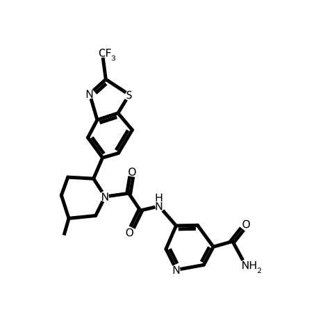 CC1CCC(c2ccc3sc(C(F)(F)F)nc3c2)N(C(=O)C(=O)Nc2cncc(C(N)=O)c2)C1